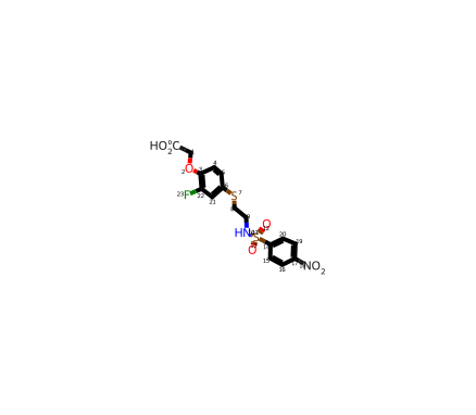 O=C(O)COc1ccc(SCCNS(=O)(=O)c2ccc([N+](=O)[O-])cc2)cc1F